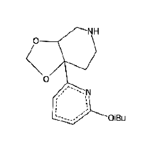 CC(C)COc1cccc(C23CCNCC2OCO3)n1